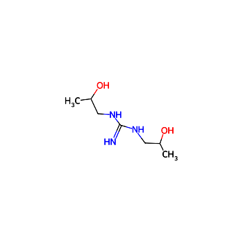 CC(O)CNC(=N)NCC(C)O